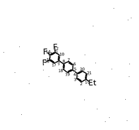 CCc1ccc(-c2ccc(-c3cc(F)c(F)c(F)c3)cc2)cc1